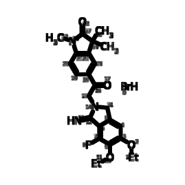 Br.CCOc1cc2c(c(F)c1OCC)C(=N)N(CC(=O)c1ccc3c(c1)C(C)(C)C(=O)N3C)C2